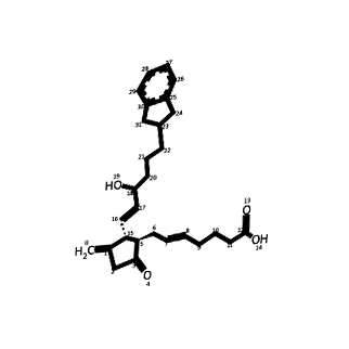 C=C1CC(=O)[C@H](CC=CCCCC(=O)O)[C@H]1C=CC(O)CCCC1Cc2ccccc2C1